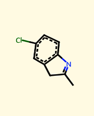 CC1=Nc2ccc(Cl)cc2C1